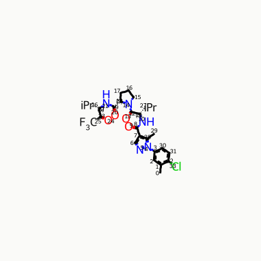 Cc1cc(-n2ncc(C(=O)N[C@H](C(=O)N3CCC[C@H]3C(=O)N[C@H](C(=O)C(F)(F)F)C(C)C)C(C)C)c2C)ccc1Cl